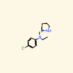 CCN(C[C@@H]1CCCN1)c1ccc(Cl)cc1